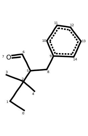 CCC(C)(C)C(C=O)Cc1ccccc1